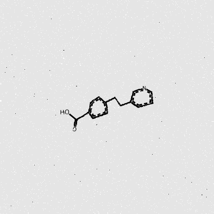 O=C(O)c1ccc(CCc2cccnc2)cc1